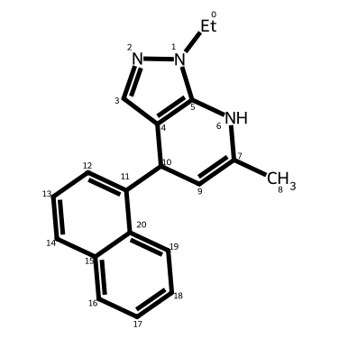 CCn1ncc2c1NC(C)=CC2c1cccc2ccccc12